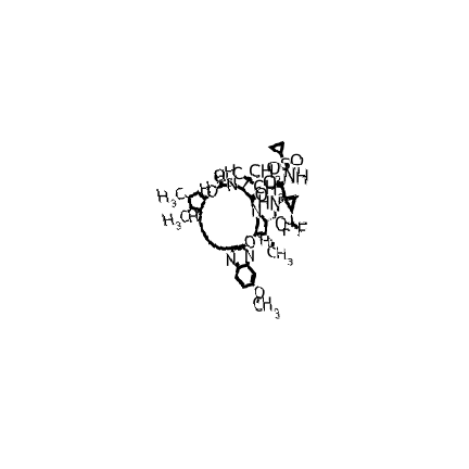 CC[C@@H]1[C@@H]2CN(C(=O)[C@H](C(C)(C)C)NC(=O)O[C@@H]3C[C@H](C)[C@H](C)[C@H]3CCCCCc3nc4ccc(OC)cc4nc3O2)[C@@H]1C(=O)N[C@]1(C(=O)NS(=O)(=O)C2CC2)C[C@H]1C(F)F